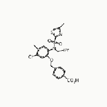 Cc1csc(S(=O)(=O)N(CC(C)C)c2cc(C)c(Cl)cc2OCc2ccc(C(=O)O)cc2)n1